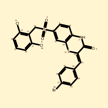 O=C1Nc2ccc(S(=O)(=O)Cc3c(Cl)cccc3Cl)cc2SC1=Cc1ccc(Br)cc1